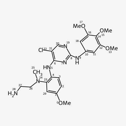 COc1ccc(Nc2nc(Nc3cc(OC)c(OC)c(OC)c3)ncc2Cl)c(N(C)CCN)c1